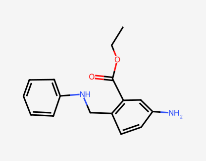 CCOC(=O)c1cc(N)ccc1CNc1ccccc1